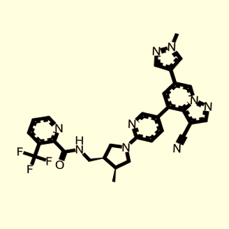 C[C@@H]1CN(c2ccc(-c3cc(-c4cnn(C)c4)cn4ncc(C#N)c34)cn2)C[C@@H]1CNC(=O)c1ncccc1C(F)(F)F